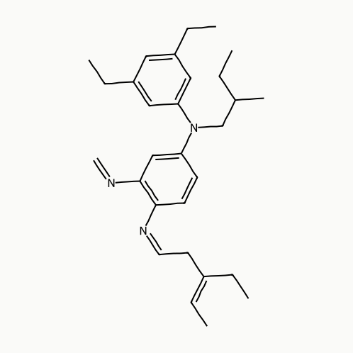 C=Nc1cc(N(CC(C)CC)c2cc(CC)cc(CC)c2)ccc1/N=C\C/C(=C/C)CC